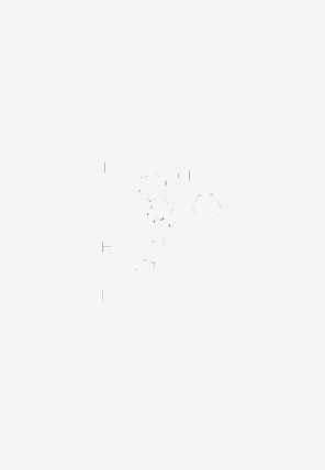 Cc1cc(C)c2c(-c3ccccc3)nn(CC(C)(C)C(=O)OCC(F)(F)F)c2c1